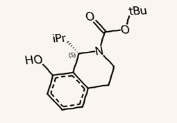 CC(C)[C@H]1c2c(O)cccc2CCN1C(=O)OC(C)(C)C